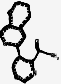 NC(=O)c1ncccc1-c1cc2ccccc2cn1